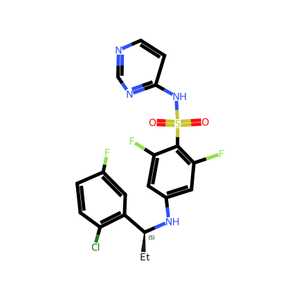 CC[C@H](Nc1cc(F)c(S(=O)(=O)Nc2ccncn2)c(F)c1)c1cc(F)ccc1Cl